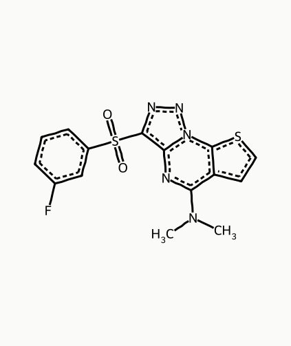 CN(C)c1nc2c(S(=O)(=O)c3cccc(F)c3)nnn2c2sccc12